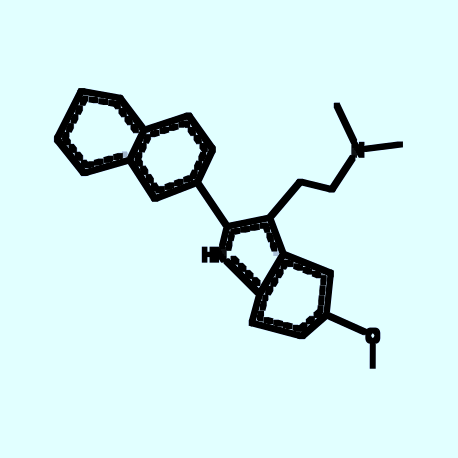 COc1ccc2[nH]c(-c3ccc4ccccc4c3)c(CCN(C)C)c2c1